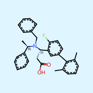 Cc1cccc(C)c1-c1ccc(F)c([C@H](CC(=O)O)N(Cc2ccccc2)[C@H](C)c2ccccc2)c1